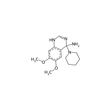 COc1cc2c(cc1OC)C(N)(N1CCCCC1)N=CN2